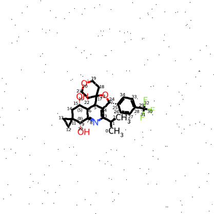 CC(C)C1=C2C(C3C(=N1)[C@H](O)C1(CC1)C[C@@H]3O)C1(CCOCC1)O[C@@H]2c1ccc(C(F)(F)F)cc1